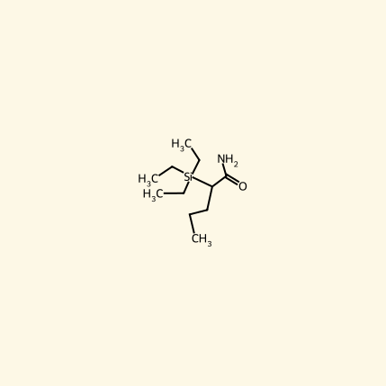 CCCC(C(N)=O)[Si](CC)(CC)CC